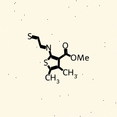 COC(=O)c1c(N=CC=S)sc(C)c1C